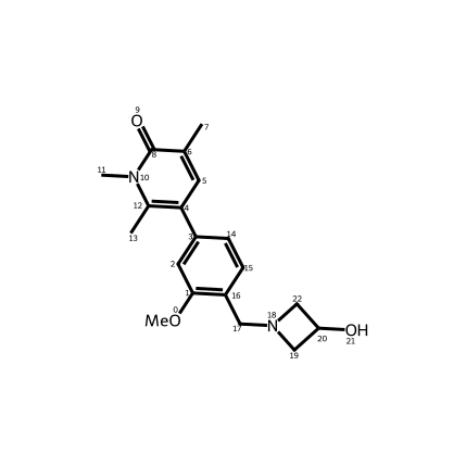 COc1cc(-c2cc(C)c(=O)n(C)c2C)ccc1CN1CC(O)C1